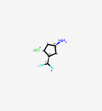 Cl.N[C@@H]1CC[C@H](C(F)F)C1